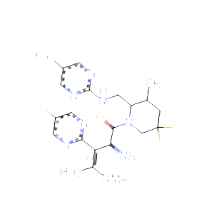 CN/C(C)=C(\C(=N)C(=O)N1CC(F)(F)CC(C)C1CNc1ncc(C(F)(F)F)cn1)c1ncc(F)cn1